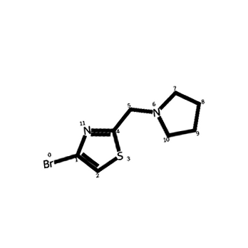 Brc1csc(CN2CCCC2)n1